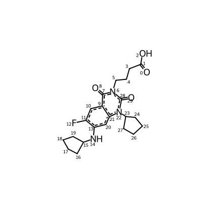 O=C(O)CCCn1c(=O)c2cc(F)c(NC3CCCC3)cc2n(C2CCCC2)c1=O